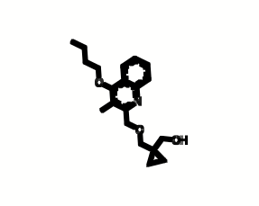 CCCCOc1c(C)c(COCC2(CO)CC2)nc2ccccc12